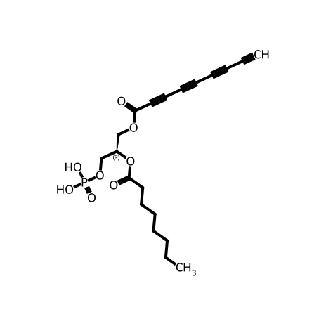 C#CC#CC#CC#CC(=O)OC[C@H](COP(=O)(O)O)OC(=O)CCCCCCC